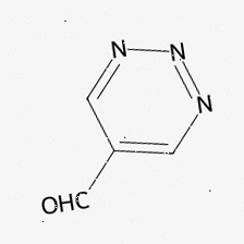 O=Cc1cnnnc1